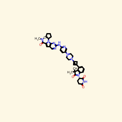 CN(C)C(=O)c1cc2cnc(Nc3ccc(N4CCN(C56CC(c7cccc8c7C(C)(C)C(=O)N8[C@H]7CCC(=O)NC7=O)(C5)C6)CC4)cn3)nc2n1C1CCCC1